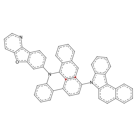 c1ccc(N(c2ccc3c(c2)oc2cccnc23)c2cccc3ccccc23)c(-c2ccc(-n3c4ccccc4c4c5ccccc5ccc43)cc2)c1